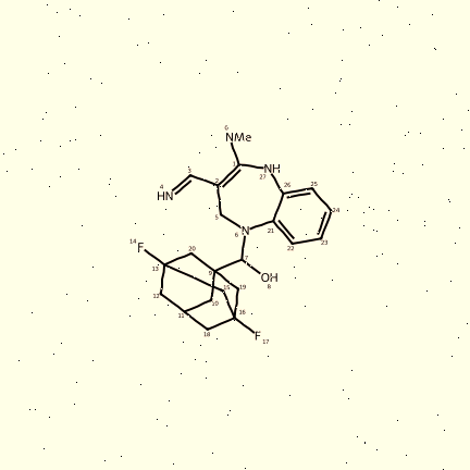 CNC1=C(C=N)CN(C(O)C23CC4CC(F)(CC(F)(C4)C2)C3)c2ccccc2N1